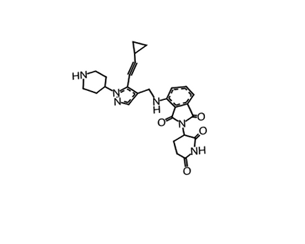 O=C1CCC(N2C(=O)c3cccc(NCc4cnn(C5CCNCC5)c4C#CC4CC4)c3C2=O)C(=O)N1